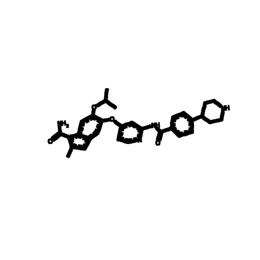 Cc1cc2cc(Oc3ccnc(NC(=O)c4ccc(C5CCNCC5)cc4)c3)c(OC(C)C)cc2n1C(N)=O